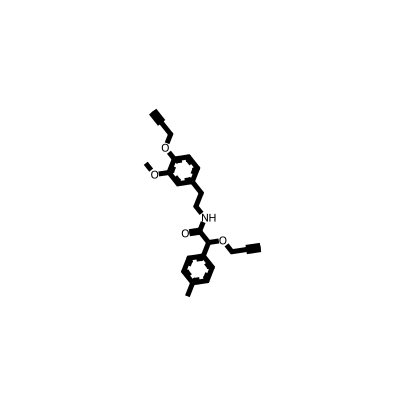 C#CCOc1ccc(CCNC(=O)C(OCC#C)c2ccc(C)cc2)cc1OC